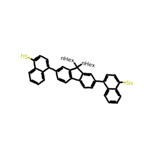 CCCCCCC1(CCCCCC)c2cc(-c3ccc(S)c4ccccc34)ccc2-c2ccc(-c3ccc(S)c4ccccc34)cc21